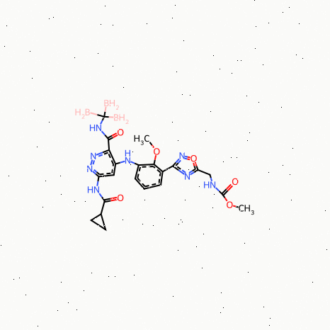 BC(B)(B)NC(=O)c1nnc(NC(=O)C2CC2)cc1Nc1cccc(-c2noc(CNC(=O)OC)n2)c1OC